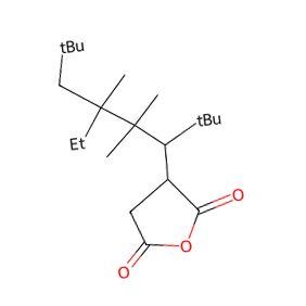 CCC(C)(CC(C)(C)C)C(C)(C)C(C1CC(=O)OC1=O)C(C)(C)C